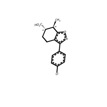 C[C@H]1c2onc(-c3ccc(Cl)cc3)c2CC[C@@H]1C(=O)O